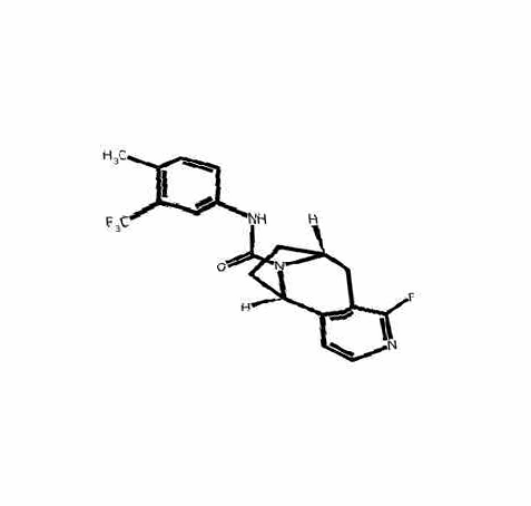 Cc1ccc(NC(=O)N2[C@@H]3CC[C@H]2c2ccnc(F)c2C3)cc1C(F)(F)F